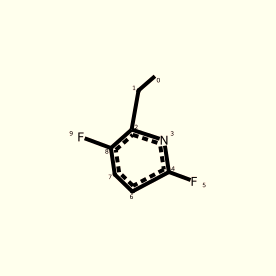 CCc1nc(F)ccc1F